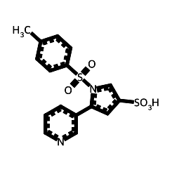 Cc1ccc(S(=O)(=O)n2cc(S(=O)(=O)O)cc2-c2cccnc2)cc1